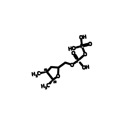 C[C@@H]1OC(COP(=O)(O)OP(=O)(O)O)C[C@@H]1C